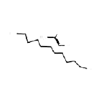 CC=C(C)C.CCCCCCCCCCCC